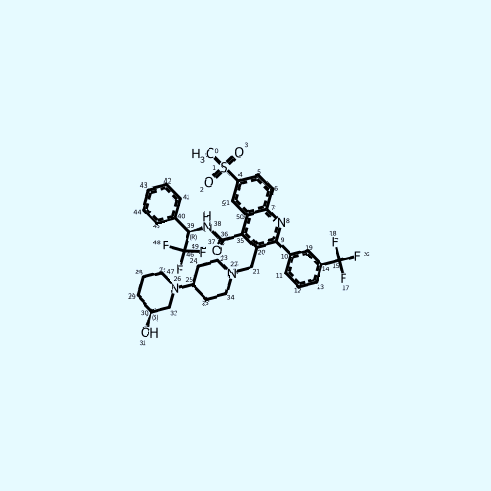 CS(=O)(=O)c1ccc2nc(-c3cccc(C(F)(F)F)c3)c(CN3CCC(N4CCC[C@H](O)C4)CC3)c(C(=O)N[C@H](c3ccccc3)C(F)(F)F)c2c1